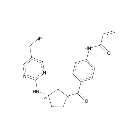 C=CC(=O)Nc1ccc(C(=O)N2CC[C@H](Nc3ncc(CC(C)C)cn3)C2)cc1